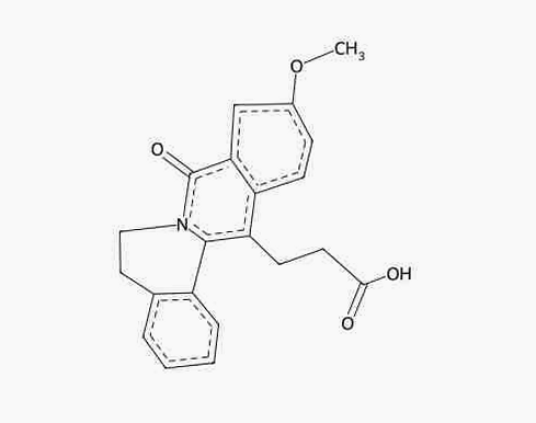 COc1ccc2c(CCC(=O)O)c3n(c(=O)c2c1)CCc1ccccc1-3